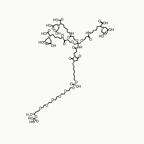 CC(CCOCCOCCOCCOCCOCCOP(=O)(O)OCCCCCCSC1CC(=O)N(CCC(=O)NC(COCCC(=O)NCCCCC(C(=O)O)N(CC(=O)O)CC(=O)O)(COCCC(=O)NCCCCC(C(=O)O)N(CC(=O)O)CC(=O)O)OCCC(=O)NCCCCC(C(=O)O)N(CC(=O)O)CC(=O)O)C1=O)OP(=O)(O)O